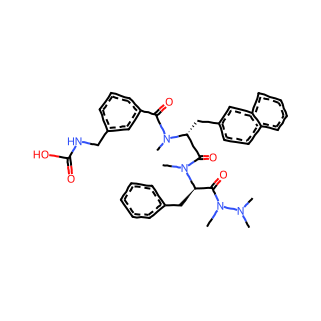 CN(C(=O)c1cccc(CNC(=O)O)c1)[C@H](Cc1ccc2ccccc2c1)C(=O)N(C)[C@H](Cc1ccccc1)C(=O)N(C)N(C)C